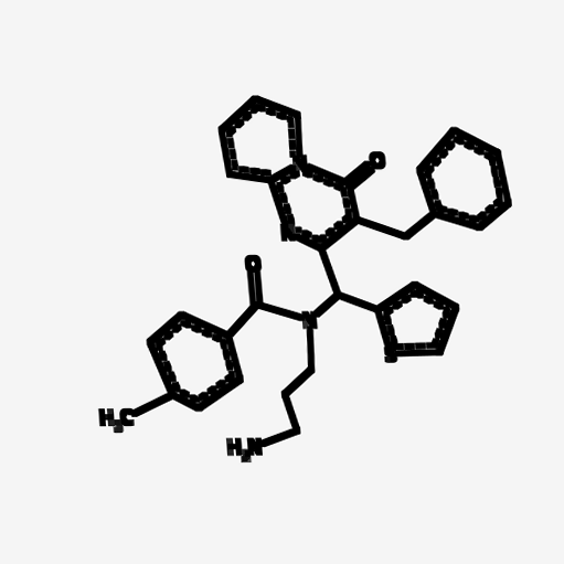 Cc1ccc(C(=O)N(CCCN)C(c2cccs2)c2nc3ccccn3c(=O)c2Cc2ccccc2)cc1